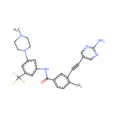 Cc1ccc(C(=O)Nc2cc(N3CCN(C)CC3)cc(C(F)(F)F)c2)cc1C#Cc1cnc(N)nc1